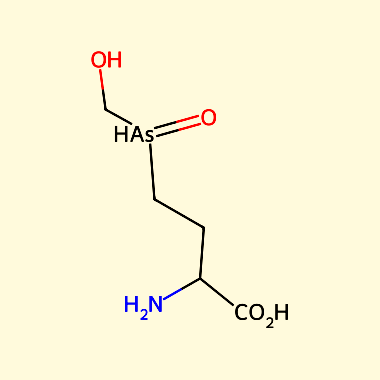 NC(CC[AsH](=O)CO)C(=O)O